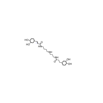 O=C(/C=C/c1ccc(O)c(O)c1)NCCCCNCCCNC(=O)CCc1ccc(O)c(O)c1